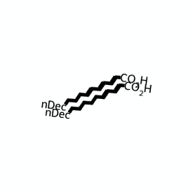 CCCCCCCCCCCCCC=CC=CC=CC(=O)O.CCCCCCCCCCCCCCCC=CC=CC(=O)O